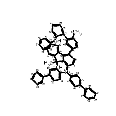 Cc1ccc(-c2ccc(N(c3ccc(-c4ccccc4)cc3)c3ccc(-c4ccccc4)cc3)c3c2-c2ccccc2C3(C)C)cc1-c1ccccc1Nc1ccccc1